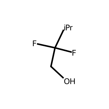 CC(C)C(F)(F)CO